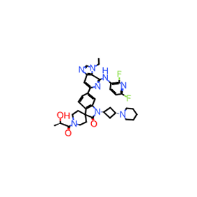 CCn1cnc2cc(-c3ccc4c(c3)N([C@H]3C[C@@H](N5CCCCC5)C3)C(=O)C43CCN(C(=O)[C@@H](C)O)CC3)nc(Nc3ccc(F)nc3F)c21